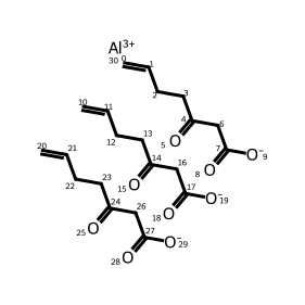 C=CCCC(=O)CC(=O)[O-].C=CCCC(=O)CC(=O)[O-].C=CCCC(=O)CC(=O)[O-].[Al+3]